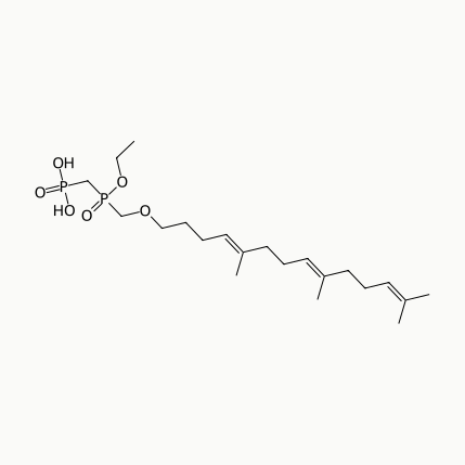 CCOP(=O)(COCCC/C=C(\C)CC/C=C(\C)CCC=C(C)C)CP(=O)(O)O